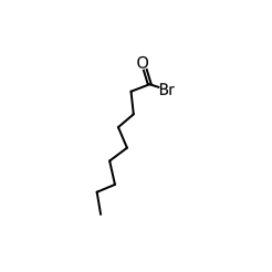 CCCCCCCCC(=O)Br